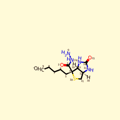 NNC(=O)[C@@]1(CCCC[C]=O)SC[C@@H]2NC(=O)N[C@@H]21